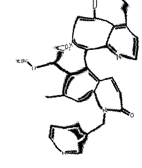 Cc1cc2c(ccc(=O)n2Cc2cccnc2)c(-c2ccc3c4c(ccnc24)CCO3)c1C(OC(C)(C)C)C(=O)O